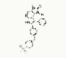 CC(C)n1c(=O)n(C)c2cnc3[nH]c(-c4ccc(CN5CCC(S(C)(=O)=O)CC5)cc4)c(-c4ccccc4)c3c21